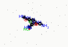 Cl.NCC1CCC(C(=O)N[C@@H](Cc2ccc(-c3ccc(C(=O)N[C@@H]4CCNC4)cc3Cl)cc2)C(=O)Nc2ccc(-c3nn[nH]n3)cc2)CC1